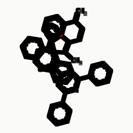 C=C(/C=C\C1=C(C)C2(c3ccccc3Oc3ccccc32)c2ccccc21)c1cccc(-c2cccc(-c3cc(-c4ccccc4)nc(-c4ccccc4)n3)c2)c1